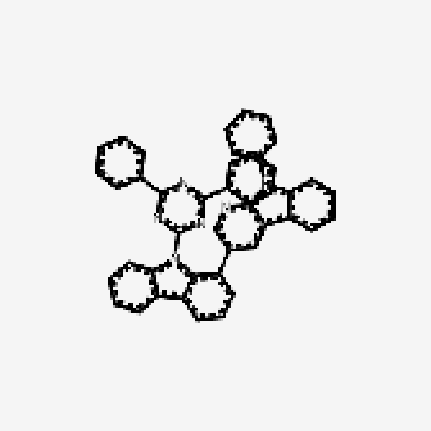 c1ccc(-c2nc(-c3ccccc3)nc(-n3c4ccccc4c4cccc(-c5cnc6c(c5)c5ccccc5n6-c5ccccc5)c43)n2)cc1